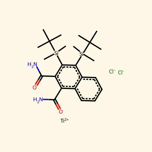 CC(C)(C)[Si](C)(C)c1c(C(N)=O)c(C(N)=O)c2ccccc2c1[Si](C)(C)C(C)(C)C.[Cl-].[Cl-].[Ti+2]